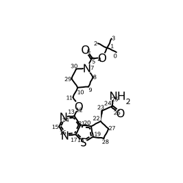 CC(C)(C)OC(=O)N1CCC(COc2ncnc3sc4c(c23)[C@@H](CC(N)=O)CC4)CC1